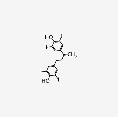 C=C(CCc1cc(I)c(O)c(I)c1)c1cc(I)c(O)c(I)c1